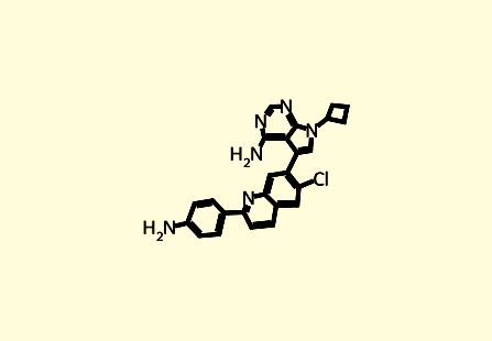 Nc1ccc(-c2ccc3cc(Cl)c(-c4cn(C5CCC5)c5ncnc(N)c45)cc3n2)cc1